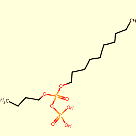 CCCCCCCCCCOP(=O)(OCCCC)OP(=O)(O)O